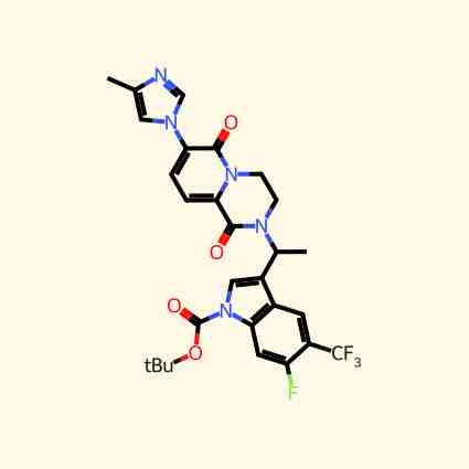 Cc1cn(-c2ccc3n(c2=O)CCN(C(C)c2cn(C(=O)OC(C)(C)C)c4cc(F)c(C(F)(F)F)cc24)C3=O)cn1